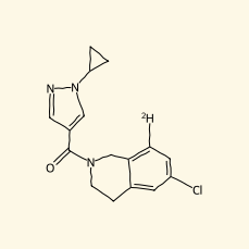 [2H]c1cc(Cl)cc2c1CN(C(=O)c1cnn(C3CC3)c1)CC2